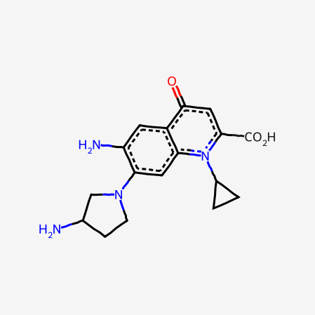 Nc1cc2c(=O)cc(C(=O)O)n(C3CC3)c2cc1N1CCC(N)C1